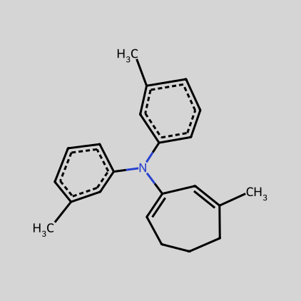 CC1=CC(N(c2cccc(C)c2)c2cccc(C)c2)=CCCC1